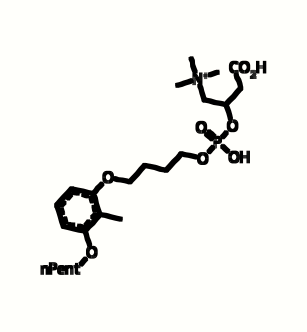 CCCCCOc1cccc(OCCCCOP(=O)(O)OC(CC(=O)O)C[N+](C)(C)C)c1C